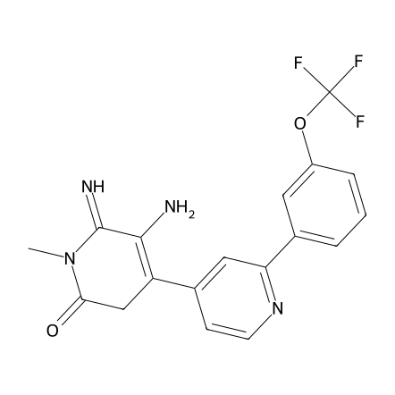 CN1C(=N)C(N)=C(c2ccnc(-c3cccc(OC(F)(F)F)c3)c2)CC1=O